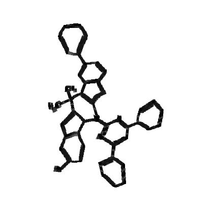 CC1(C)C2=Cc3cc(Br)ccc3C2N(c2nc(-c3ccccc3)cc(-c3ccccc3)n2)C2=C1c1cc(-c3ccccc3)ccc1C2